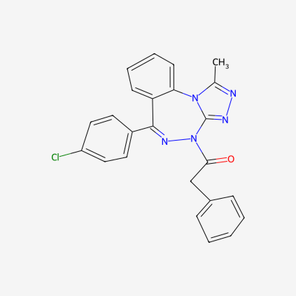 Cc1nnc2n1-c1ccccc1C(c1ccc(Cl)cc1)=NN2C(=O)Cc1ccccc1